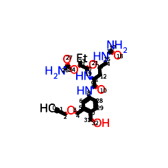 C#CCOCc1cc(NC(=O)C(CCCNC(N)=O)NC(=O)C(CC)OC(N)=O)ccc1CO